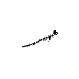 O=C(O)CCOC(CCNC(=O)OCC1c2ccccc2-c2ccccc21)COCCOCCOCCOCCOCCOCCOCCOCCOCCOCCO